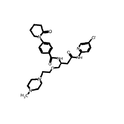 CN1CCN(CCOCC(CC(=O)Nc2ccc(Cl)cn2)NC(=O)c2ccc(N3CCCCC3=O)cc2)CC1